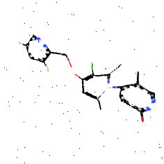 CC1=CC(OCc2ncc(F)cc2F)=C(Cl)C(C(=O)O)N1c1cc(Br)ncc1C